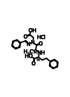 C[C@H](N[C@@H](CCc1ccccc1)C(=O)O)C(=O)N(CC(=O)O)N=Cc1ccccc1.Cl